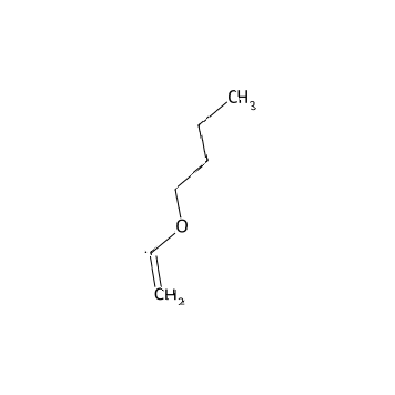 C=[C]OCCCC